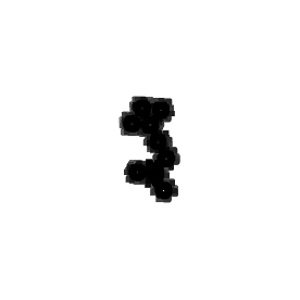 c1ccc(-c2cc(-c3cccc(-c4ccc(-c5cc(-c6ccccc6)c(-c6ccccc6)c(-c6ccccc6)c5)cc4)c3)nc(-c3ccccc3)n2)cc1